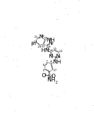 NS(=O)(=O)c1cccc(Nc2nccc(Nc3n[nH]c4ncc(F)cc34)n2)c1